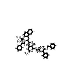 BC(=O)N[C@H](C(=O)N[C@@H](Cc1cccc2c1CCCC2)C(=O)NC(CCC)C(O)C(=O)NCC(=O)N[C@H](C(=O)OCc1ccccc1)c1ccccc1)C1CCCCC1